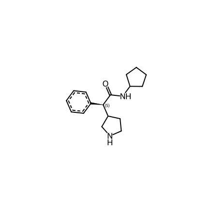 O=C(NC1CCCC1)[C@H](c1ccccc1)C1CCNC1